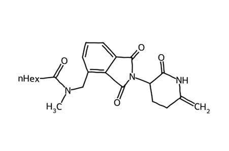 C=C1CCC(N2C(=O)c3cccc(CN(C)C(=O)CCCCCC)c3C2=O)C(=O)N1